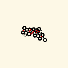 c1ccc2c(c1)Oc1ccc(N(c3ccc4c(c3)C3(c5cc(C6CCCCC6)ccc5Oc5ccc(C6CCCCC6)cc53)c3ccccc3-4)c3cccc4c3oc3ccccc34)cc1C21c2ccccc2-c2ccccc21